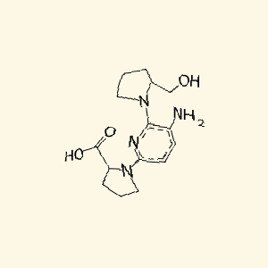 Nc1ccc(N2CCCC2C(=O)O)nc1N1CCCC1CO